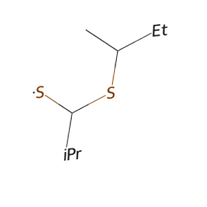 CCC(C)SC([S])C(C)C